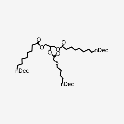 CCCCCCCCCCCCCCCCCC(=O)OCC(COC(=O)CCCCCCCCCCCCCCCCC)OC(=O)CSCCCCCCCCCCCCCC